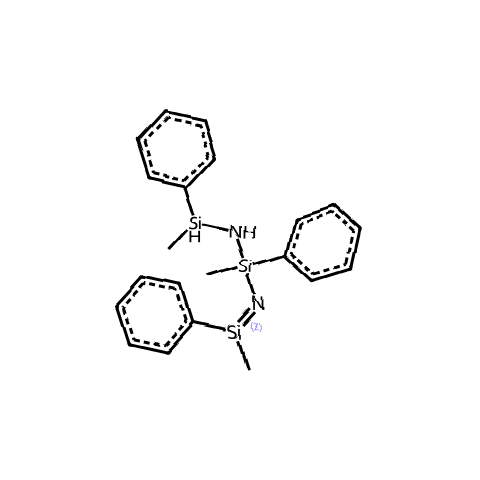 C/[Si](=N/[Si](C)(N[SiH](C)c1ccccc1)c1ccccc1)c1ccccc1